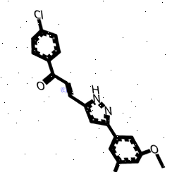 COc1cc(OC)cc(-c2cc(/C=C/C(=O)c3ccc(Cl)cc3)[nH]n2)c1